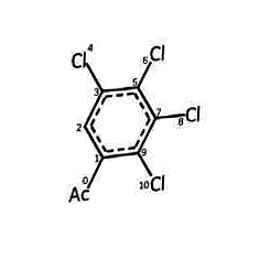 CC(=O)c1cc(Cl)c(Cl)c(Cl)c1Cl